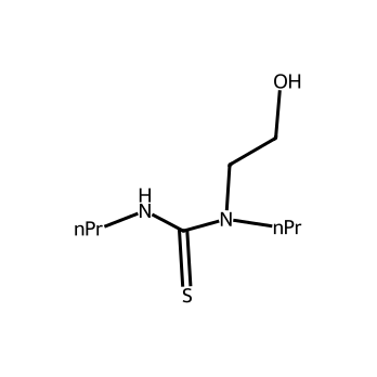 CCCNC(=S)N(CCC)CCO